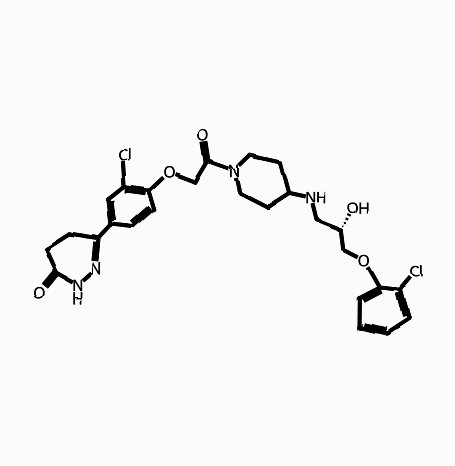 O=C1CCC(c2ccc(OCC(=O)N3CCC(NC[C@H](O)COc4ccccc4Cl)CC3)c(Cl)c2)=NN1